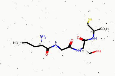 N[C@@H](CCC(=O)O)C(=O)NCC(=O)N[C@@H](CO)C(=O)N[C@@H](CS)C(=O)O